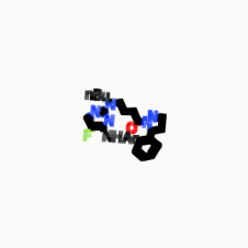 CCCCN(CCCC(=O)N1N=CCC1c1ccccc1)c1ncc(F)c(NC(C)=O)n1